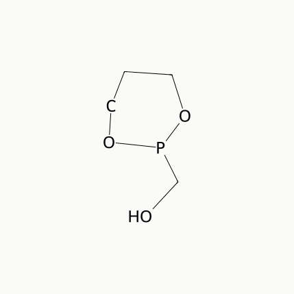 OCP1OCCCO1